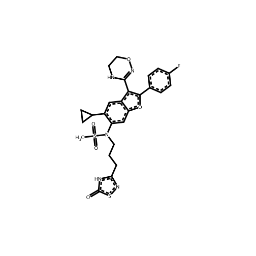 CS(=O)(=O)N(CCCc1nsc(=O)[nH]1)c1cc2oc(-c3ccc(F)cc3)c(C3=NOCCN3)c2cc1C1CC1